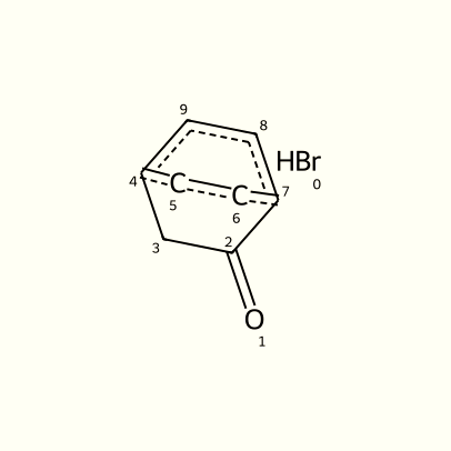 Br.O=C1Cc2ccc1cc2